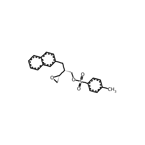 Cc1ccc(S(=O)(=O)OC[C@@H](Cc2ccc3ccccc3c2)[C@@H]2CO2)cc1